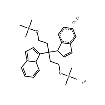 C[Si](C)(C)OCCC(CCO[Si](C)(C)C)(C1=CC=C2C=CC=CC21)C1C=Cc2ccccc21.[Cl-].[Cl-].[Zr+2]